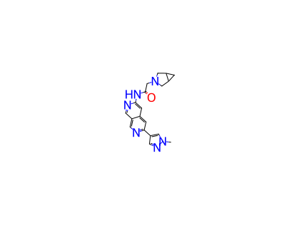 Cn1cc(-c2cc3cc(NC(=O)CN4CC5CC5C4)ncc3cn2)cn1